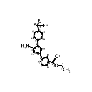 CCOC(=O)c1ccnc(-n2cc(N)c(-c3ccc(C(F)(F)F)cc3)c2)c1